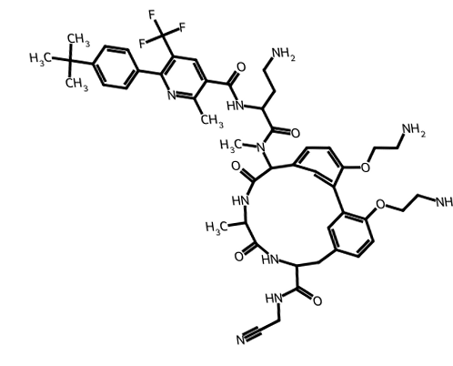 Cc1nc(-c2ccc(C(C)(C)C)cc2)c(C(F)(F)F)cc1C(=O)NC(CCN)C(=O)N(C)C1C(=O)NC(C)C(=O)NC(C(=O)NCC#N)Cc2ccc(OCCN)c(c2)-c2cc1ccc2OCCN